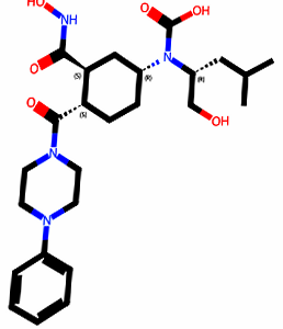 CC(C)C[C@H](CO)N(C(=O)O)[C@@H]1CC[C@H](C(=O)N2CCN(c3ccccc3)CC2)[C@@H](C(=O)NO)C1